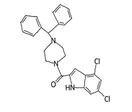 O=C(c1cc2c(Cl)cc(Cl)cc2[nH]1)N1CCN(C(c2ccccc2)c2ccccc2)CC1